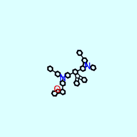 c1ccc(-c2ccc(N(c3ccc(-c4ccc(-c5ccc6c(c5)c5cc(-c7ccccc7)ccc5n6-c5ccccc5)c5c4C4c6ccccc6C46c4ccccc4C56)cc3)c3ccc(-c4cccc5c4oc4ccccc45)cc3)cc2)cc1